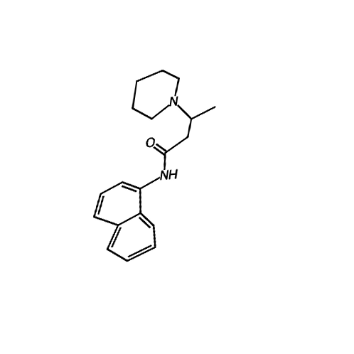 CC(CC(=O)Nc1cccc2ccccc12)N1CCCCC1